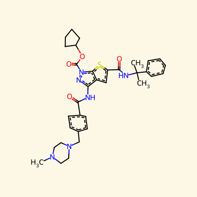 CN1CCN(Cc2ccc(C(=O)Nc3nn(C(=O)OC4CCCC4)c4sc(C(=O)NC(C)(C)c5ccccc5)cc34)cc2)CC1